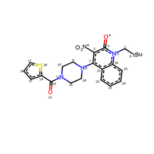 CC(C)(C)Cn1c(=O)c([N+](=O)[O-])c(N2CCN(C(=O)c3cccs3)CC2)c2ccccc21